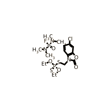 CCOP(=S)(OCC)SCn1c(=O)oc2cc(Cl)ccc21.CN(C)P(=O)(F)N(C)C